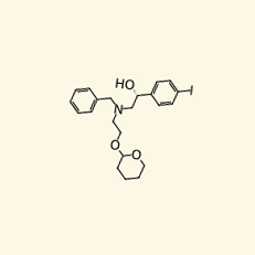 O[C@@H](CN(CCOC1CCCCO1)Cc1ccccc1)c1ccc(I)cc1